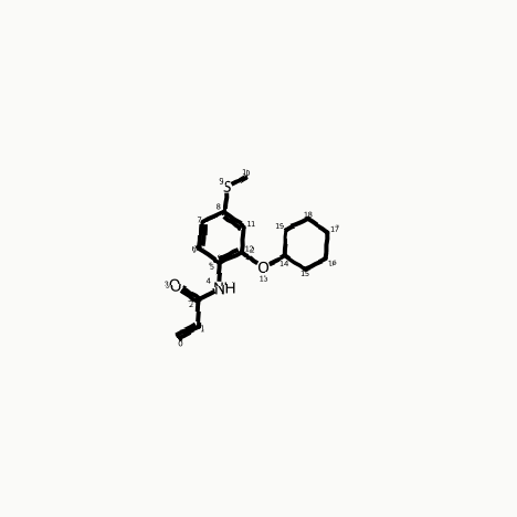 C=CC(=O)Nc1ccc(SC)cc1OC1CCCCC1